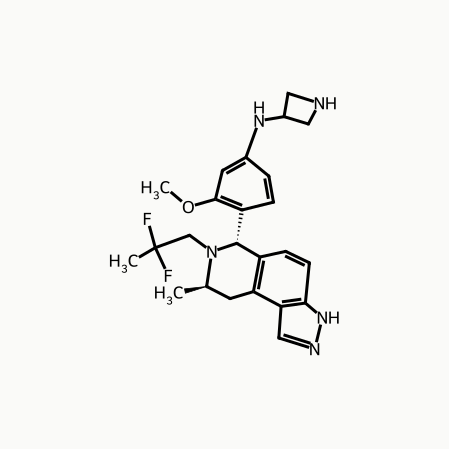 COc1cc(NC2CNC2)ccc1[C@@H]1c2ccc3[nH]ncc3c2C[C@@H](C)N1CC(C)(F)F